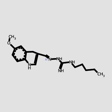 CCCCCNC(=N)N/N=C/C1=CNc2ccc(OC)cc2C1